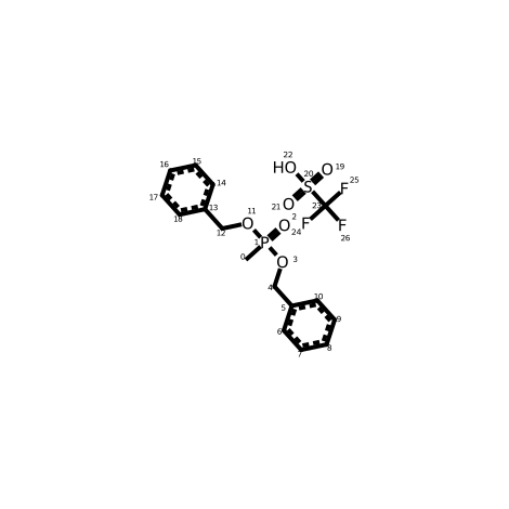 CP(=O)(OCc1ccccc1)OCc1ccccc1.O=S(=O)(O)C(F)(F)F